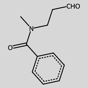 CN(CCC=O)C(=O)c1ccccc1